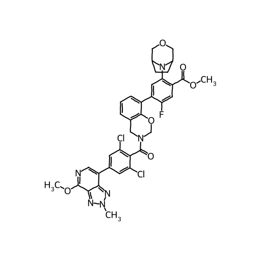 COC(=O)c1cc(F)c(-c2cccc3c2OCN(C(=O)c2c(Cl)cc(-c4cnc(OC)c5nn(C)nc45)cc2Cl)C3)cc1N1C2CCC1COC2